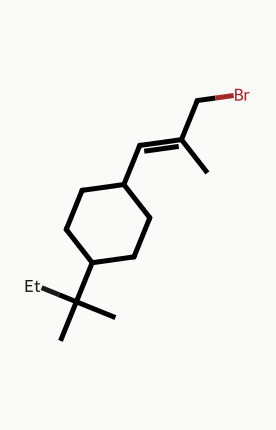 CCC(C)(C)C1CCC(/C=C(\C)CBr)CC1